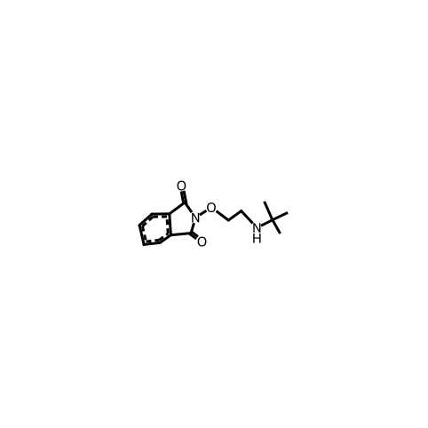 CC(C)(C)NCCON1C(=O)c2ccccc2C1=O